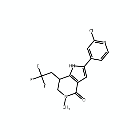 CN1CC(CC(F)(F)F)c2[nH]c(-c3ccnc(Cl)c3)cc2C1=O